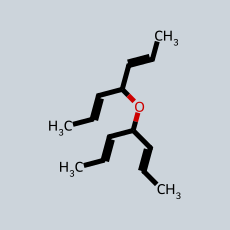 CC=CC(C=CC)OC(C=CC)C=CC